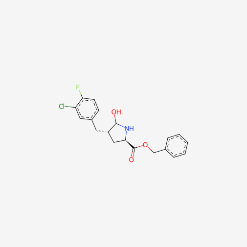 O=C(OCc1ccccc1)[C@H]1C[C@H](Cc2ccc(F)c(Cl)c2)C(O)N1